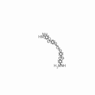 N=C(N)c1ccc(OC(=O)c2ccc(OCCOCCOc3ccc(C(=O)Oc4ccc(C(=N)N)cc4)cc3)cc2)cc1